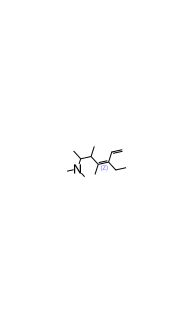 C=C/C(CC)=C(/C)C(C)C(C)N(C)C